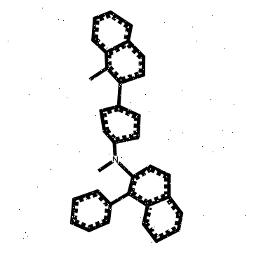 Cc1c(-c2ccc(N(C)c3ccc4ccccc4c3-c3ccccc3)cc2)ccc2ccccc12